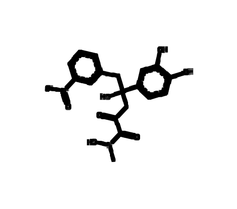 CN(O)C(=O)C(=O)CC(O)(Cc1cccc([N+](=O)[O-])c1)c1ccc(O)c(O)c1